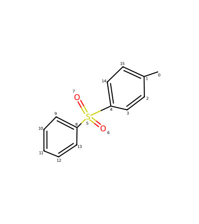 Cc1ccc(S(=O)(=O)c2ccccc2)cc1